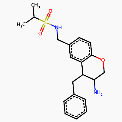 CC(C)S(=O)(=O)NCc1ccc2c(c1)C(Cc1ccccc1)C(N)CO2